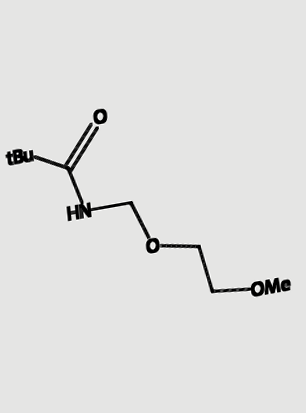 COCCOCNC(=O)C(C)(C)C